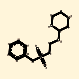 O=S(=O)(CCOC1C[N]CCO1)Cc1ccccc1